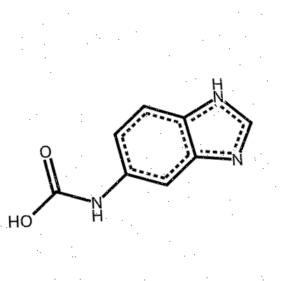 O=C(O)Nc1ccc2[nH]cnc2c1